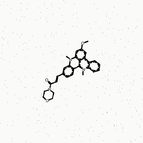 COc1cc2c3c([n+](C)c4ccccc4c3c1)-c1ccc(/C=C/C(=O)N3CCOCC3)cc1N2C